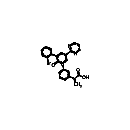 CN(C(=O)O)c1cccc(-n2cc(-c3ncccn3)cc(-c3ccccc3Br)c2=O)c1